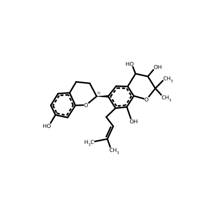 CC(C)=CCc1c([C@@H]2CCc3ccc(O)cc3O2)cc2c(c1O)OC(C)(C)C(O)C2O